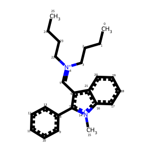 CCCC[N+](=Cc1c(-c2ccccc2)n(C)c2ccccc12)CCCC